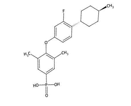 Cc1cc(P(=O)(O)O)cc(C)c1Oc1ccc([C@H]2CC[C@H](C)CC2)c(F)c1